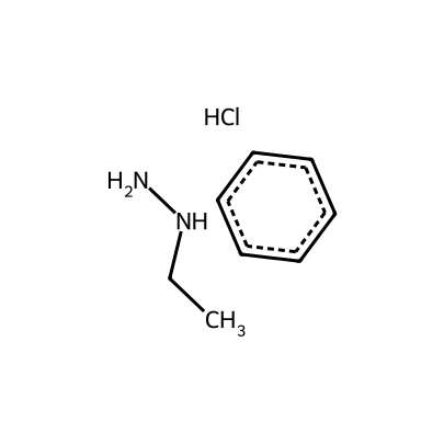 CCNN.Cl.c1ccccc1